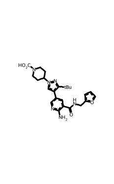 CC(C)(C)c1nn(C2CCN(C(=O)O)CC2)cc1-c1cnc(N)c(C(=O)NCc2ccco2)c1